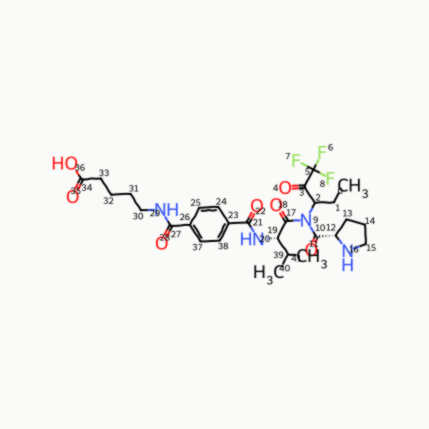 CCC(C(=O)C(F)(F)F)N(C(=O)[C@@H]1CCCN1)C(=O)[C@@H](NC(=O)c1ccc(C(=O)NCCCCC(=O)O)cc1)C(C)C